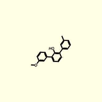 COc1cccc(-c2cc[c]c(-c3cccc(C)c3)c2O)c1